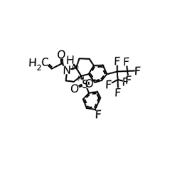 C=CC(=O)N1CC[C@@]2(S(=O)(=O)c3ccc(F)cc3)c3ccc(C(F)(C(F)(F)F)C(F)(F)F)cc3CC[C@@H]12